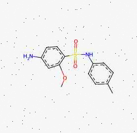 COc1cc(N)ccc1S(=O)(=O)Nc1ccc(C)cc1